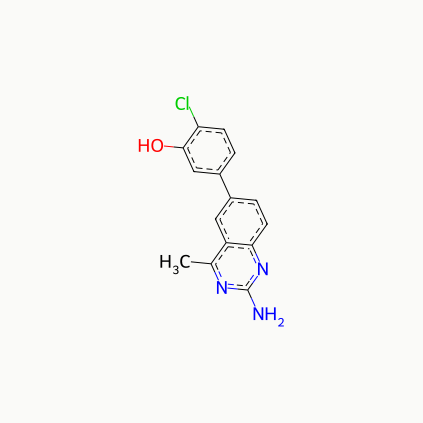 Cc1nc(N)nc2ccc(-c3ccc(Cl)c(O)c3)cc12